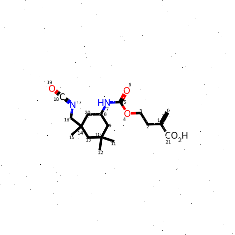 C=C(CCOC(=O)NC1CC(C)(C)CC(C)(CN=C=O)C1)C(=O)O